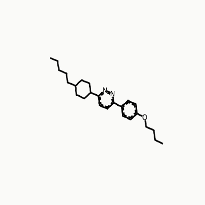 CCCCCC1CCC(c2ccc(-c3ccc(OCCCC)cc3)nn2)CC1